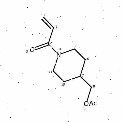 C=CC(=O)N1CCC(COC(C)=O)CC1